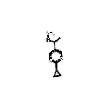 CC(NN)c1cnc(C2CC2)nc1